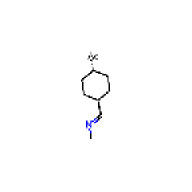 CN=C[C@H]1CC[C@H](C(C)=O)CC1